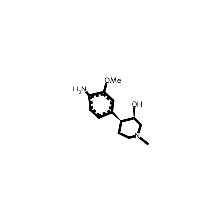 COc1cc([C@@H]2CCN(C)C[C@@H]2O)ccc1N